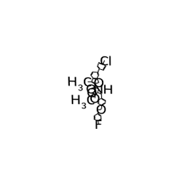 COC(=O)C(Cc1ccc(OCc2ccc(F)cc2)cc1)NC(=O)c1oc2cc(-c3ccc(Cl)cc3)ccc2c1C